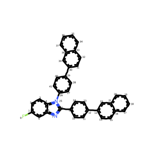 Fc1ccc2c(c1)nc(-c1ccc(-c3ccc4ccccc4c3)cc1)n2-c1ccc(-c2ccc3ccccc3c2)cc1